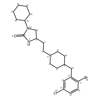 O=C1NC(CCN2CCC(Cc3cc(Cl)ccc3Br)CC2)CN1C1CCCCC1